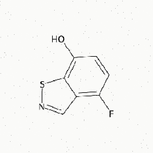 Oc1ccc(F)c2cnsc12